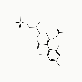 Cc1cc(C)c(C2=C(OC(=O)C(C)(C)C)CC(C(C)COS(C)(=O)=O)OC2=O)c(C)c1